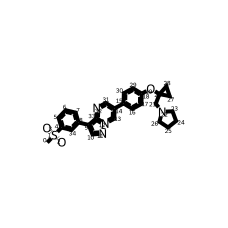 CS(=O)(=O)c1cccc(-c2cnn3cc(-c4ccc(OC5(CN6CCCC6)CC5)cc4)cnc23)c1